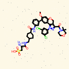 COc1cc2c(cc1-c1cccc(NC(=O)C3CCC(CNC(=O)[C@@H](N)CS(=O)(=O)O)CC3)c1)-c1c(c(C(=O)N3CCOCC3(C)C)nn1-c1cc(Cl)cc(Cl)c1)CO2